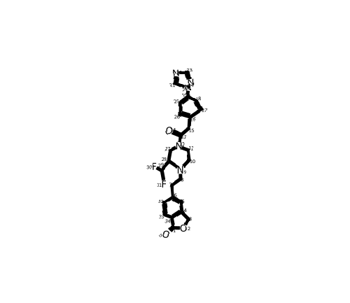 O=C1OCc2cc(CCN3CCN(C(=O)Cc4ccc(-n5cncn5)cc4)CC3C(F)F)ccc21